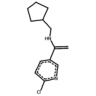 C=C(NCC1CCCC1)c1ccc(Cl)nc1